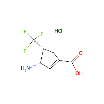 Cl.N[C@H]1C=C(C(=O)O)C[C@H]1C(F)(F)F